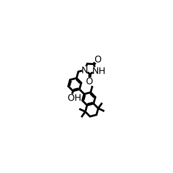 Cc1cc2c(cc1-c1cc(CN3CC(=O)NC3=O)ccc1O)C(C)(C)CCC2(C)C